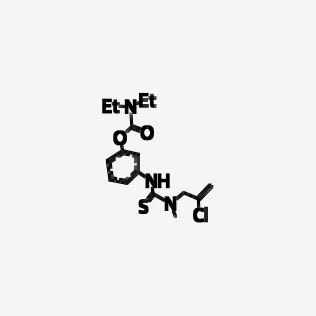 C=C(Cl)CN(C)C(=S)Nc1cccc(OC(=O)N(CC)CC)c1